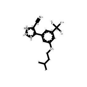 CC(C)CCOc1cc(-c2nn[nH]c2C#N)cc(C(F)(F)F)c1